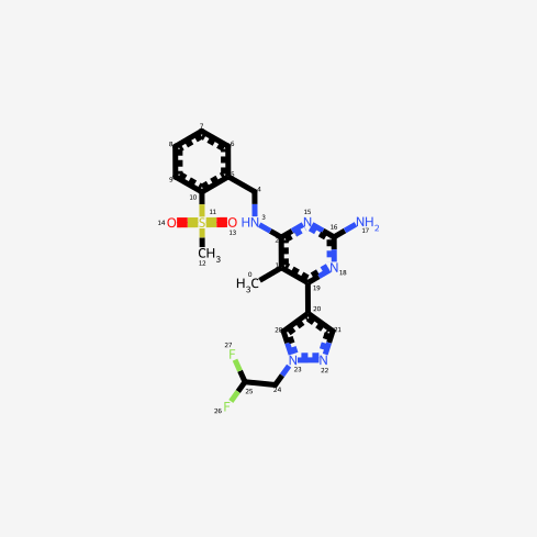 Cc1c(NCc2ccccc2S(C)(=O)=O)nc(N)nc1-c1cnn(CC(F)F)c1